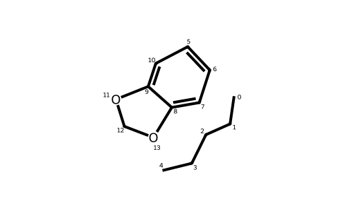 CCCCC.c1ccc2c(c1)OCO2